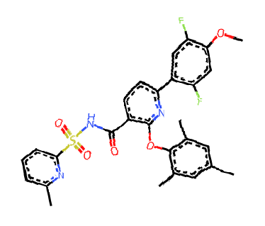 COc1cc(F)c(-c2ccc(C(=O)NS(=O)(=O)c3cccc(C)n3)c(Oc3c(C)cc(C)cc3C)n2)cc1F